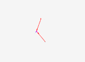 CCCCCCCCCCCCCCCCOCCN(C)CCOCCCCCCCCCCCCCCCC